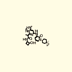 C=NN1C(NC)=CC(Nc2cccn([C@H]3CC[C@](C)(OC)CC3)c2=O)=N/C1=C(/C)C(=O)NC1CCC1O